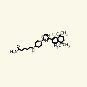 CC1(C)CCC(C)(C)c2cc(-c3ncnc(N4CCC(NCCCCC(N)=O)CC4)n3)ccc21